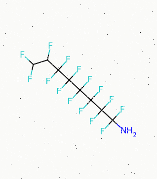 NC(F)(F)C(F)(F)C(F)(F)C(F)(F)C(F)(F)C(F)(F)C(F)C(F)F